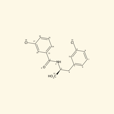 O=C(N[C@@H](Cc1cccc(Cl)c1)C(=O)O)c1cccc(Cl)c1